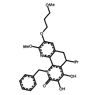 COCCCOc1cc2c(nc1OC)-c1c(c(O)c(O)c(=O)n1Cc1ccccc1)C(C(C)C)C2